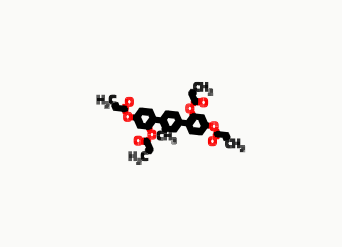 C=CC(=O)Oc1ccc(-c2ccc(-c3ccc(OC(=O)C=C)cc3OC(=O)C=C)c(C)c2)c(OC(=O)C=C)c1